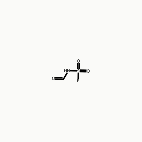 O=CNS(=O)(=O)F